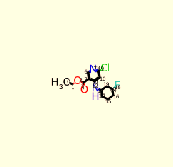 CCOC(=O)c1cnc(Cl)cc1NC1CCC[C@H](F)C1